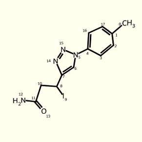 Cc1ccc(-n2cc(C(I)CC(N)=O)nn2)cc1